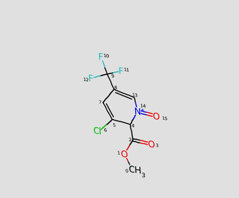 COC(=O)C1C(Cl)=CC(C(F)(F)F)=C[N+]1=O